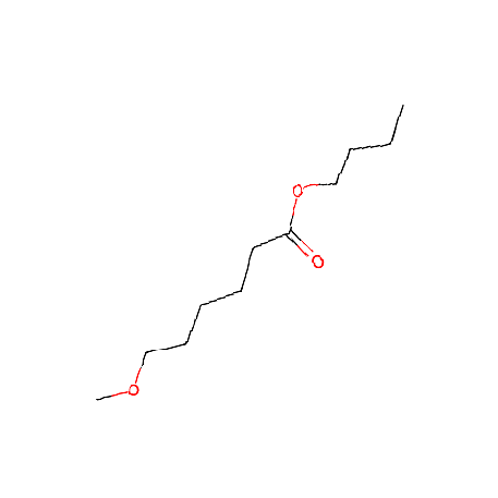 CCCCOC(=O)CCCCCOC